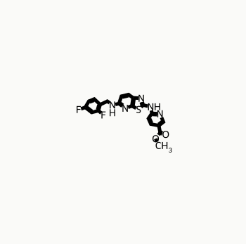 COC(=O)c1ccc(Nc2nc3ccc(NCc4ccc(F)cc4F)nc3s2)nc1